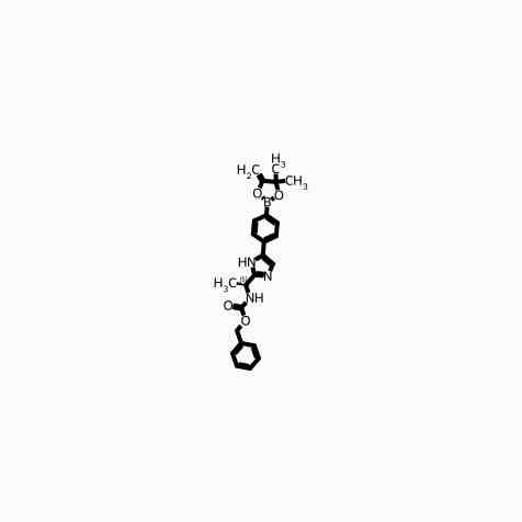 C=C1OB(c2ccc(-c3cnc([C@H](C)NC(=O)OCc4ccccc4)[nH]3)cc2)OC1(C)C